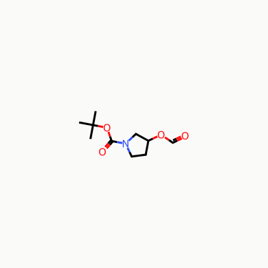 CC(C)(C)OC(=O)N1CCC(OC=O)C1